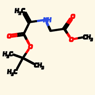 C=C(NCC(=O)OC)C(=O)OC(C)(C)C